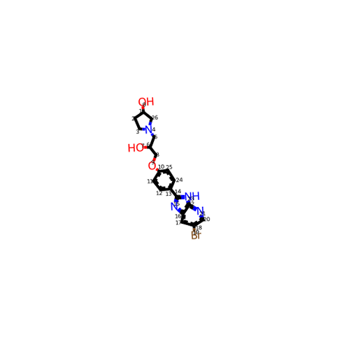 OC1CCN(CC(O)COc2ccc(-c3nc4cc(Br)cnc4[nH]3)cc2)C1